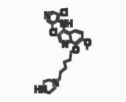 COc1ccc2c(Nc3c(Cl)cncc3Cl)ccnc2c1OCCCCCCN1CCNCC1